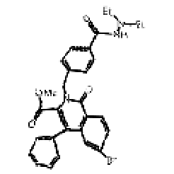 CCN(CC)NC(=O)c1ccc(Cn2c(C(=O)OC)c(-c3ccccc3)c3cc(Br)ccc3c2=O)cc1